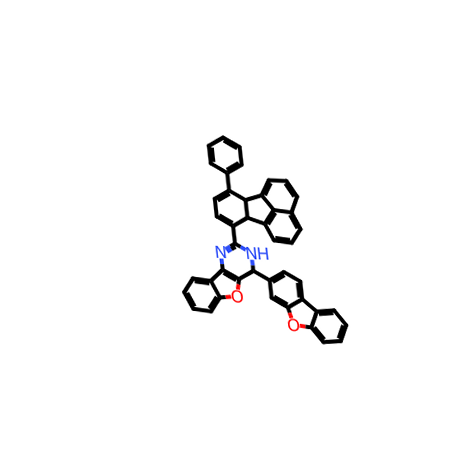 C1=C(C2=Nc3c(oc4ccccc34)C(c3ccc4c(c3)oc3ccccc34)N2)C2c3cccc4cccc(c34)C2C(c2ccccc2)=C1